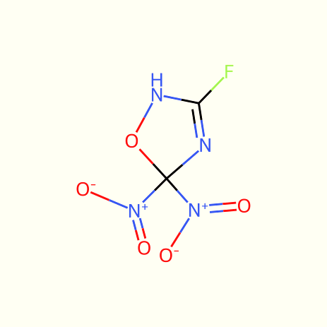 O=[N+]([O-])C1([N+](=O)[O-])N=C(F)NO1